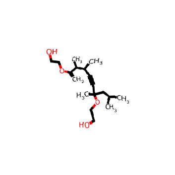 C=C(OCCO)C(C)C(C)C#CC(C)(CC(C)C)OCCO